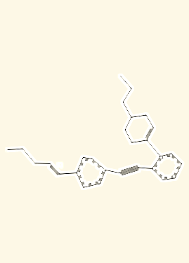 CCC/C=C/c1ccc(C#Cc2ccccc2C2=CCC(CCC)CC2)cc1